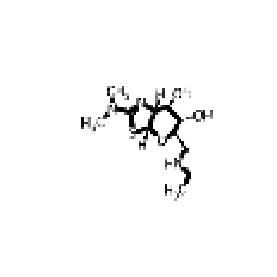 CCNC[C@H]1O[C@@H]2SC(N(C)C)=N[C@@H]2[C@@H](O)[C@@H]1O